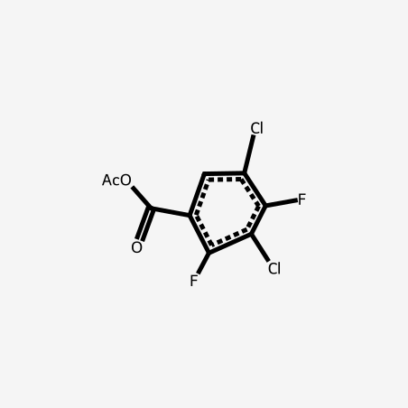 CC(=O)OC(=O)c1cc(Cl)c(F)c(Cl)c1F